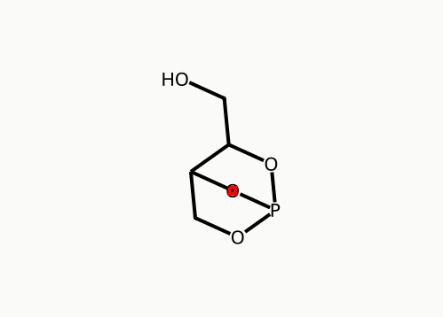 OCC1OP2OCC1CO2